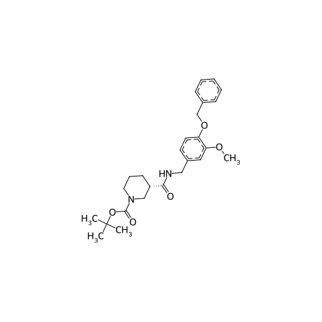 COc1cc(CNC(=O)[C@H]2CCCN(C(=O)OC(C)(C)C)C2)ccc1OCc1ccccc1